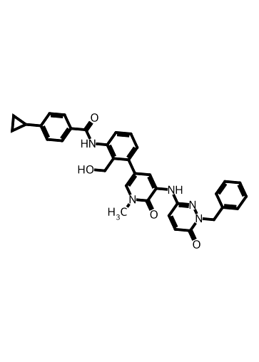 Cn1cc(-c2cccc(NC(=O)c3ccc(C4CC4)cc3)c2CO)cc(Nc2ccc(=O)n(Cc3ccccc3)n2)c1=O